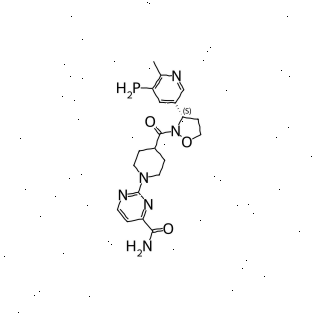 Cc1ncc([C@@H]2CCON2C(=O)C2CCN(c3nccc(C(N)=O)n3)CC2)cc1P